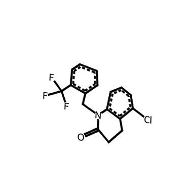 O=C1CCc2c(Cl)cccc2N1Cc1ccccc1C(F)(F)F